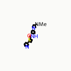 CNC1CCN(c2ccc(NC(=O)c3ccc(-c4cccnc4)s3)cc2)C1